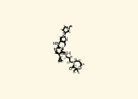 Cc1nn(C2CCN(C)C2)cc1Nc1ncc(C2CC2)c(NCCCN2CCCOC(C)(C)C2=O)n1